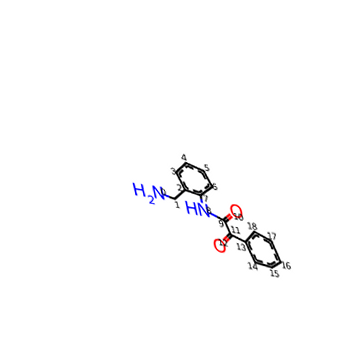 NCc1ccccc1NC(=O)C(=O)c1ccccc1